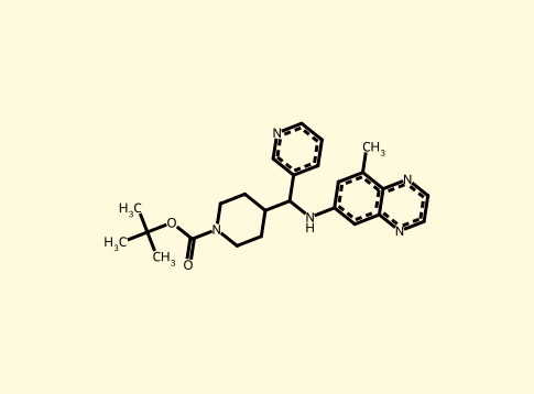 Cc1cc(NC(c2cccnc2)C2CCN(C(=O)OC(C)(C)C)CC2)cc2nccnc12